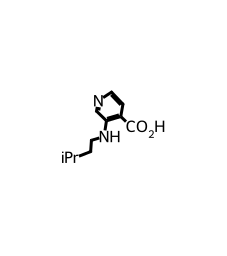 CC(C)CCNc1cnccc1C(=O)O